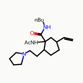 C=CC1CCC(CCN2CCCC2)C(NC(C)=O)(C(=O)NCCCC)C1